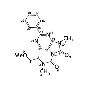 COCCN(C)C(=O)n1c(=O)n(C)c2nc(-c3ccccc3)ncc21